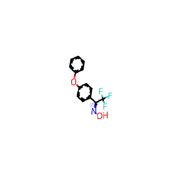 O/N=C(/c1ccc(Oc2ccccc2)cc1)C(F)(F)F